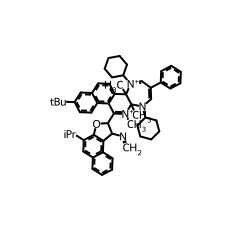 C=NC1c2c(c(C(C)C)cc3ccccc23)OC1C1=[N+](C)C2(C)N(C3CCCCC3)C=C(c3ccccc3)C=[N+](C3CCCCC3)C2(C)c2ccc3cc(C(C)(C)C)ccc3c21